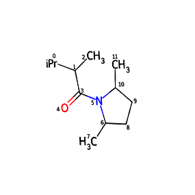 CC(C)C(C)C(=O)N1C(C)CCC1C